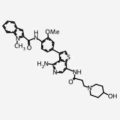 COc1cc(-c2csc3c(NC(=O)CCN4CCC(O)CC4)cnc(N)c23)ccc1NC(=O)c1cc2ccccc2n1C